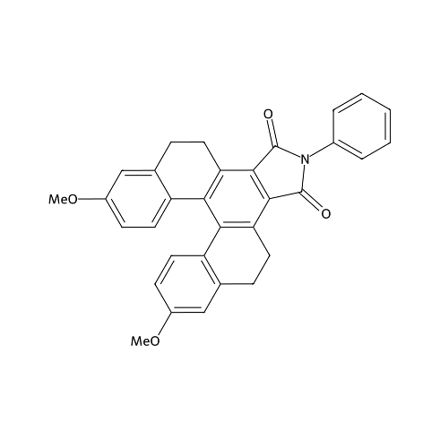 COc1ccc2c(c1)CCc1c3c(c4c(c1-2)-c1ccc(OC)cc1CC4)C(=O)N(c1ccccc1)C3=O